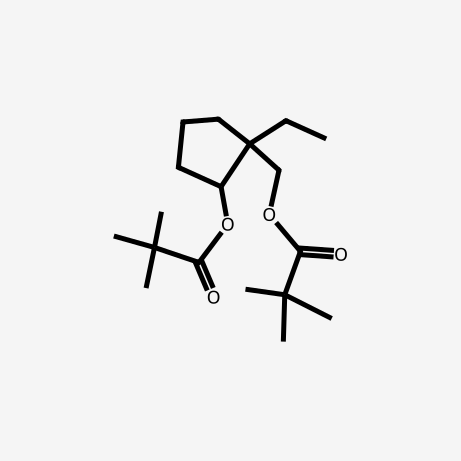 CCC1(COC(=O)C(C)(C)C)CCCC1OC(=O)C(C)(C)C